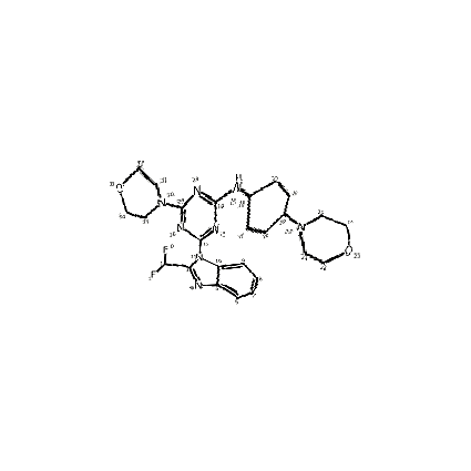 FC(F)c1nc2ccccc2n1-c1nc(NC2CCC(N3CCOCC3)CC2)nc(N2CCOCC2)n1